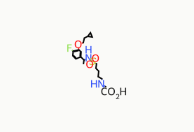 CC(NS(=O)(=O)CCCCCNCC(=O)O)c1ccc(F)c(OCCC2CC2)c1